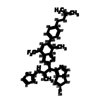 C=C(Nc1nccs1)C(c1ncn2c1C[C@@H](F)C2)n1cc2c(C(F)(F)F)cc(-c3ccc(CCN(C)C)cc3)c(C)c2n1